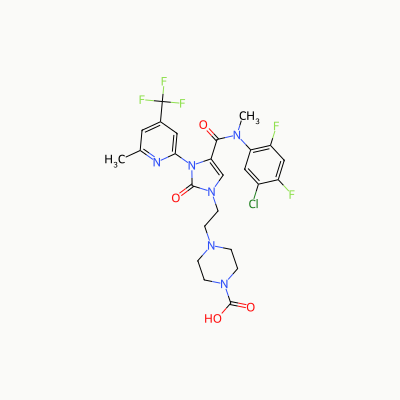 Cc1cc(C(F)(F)F)cc(-n2c(C(=O)N(C)c3cc(Cl)c(F)cc3F)cn(CCN3CCN(C(=O)O)CC3)c2=O)n1